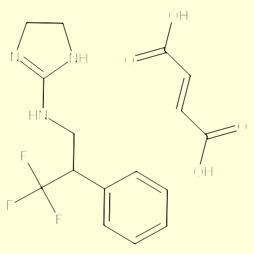 FC(F)(F)C(CNC1=NCCN1)c1ccccc1.O=C(O)/C=C/C(=O)O